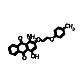 Cc1ccc(OCCOc2cc(O)c3c(c2N)C(=O)c2ccccc2C3=O)cc1